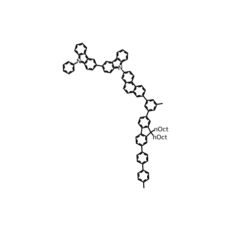 CCCCCCCCC1(CCCCCCCC)c2cc(-c3ccc(-c4ccc(C)cc4)cc3)ccc2-c2ccc(-c3cc(C)cc(-c4ccc5c(ccc6cc(-n7c8ccccc8c8cc(-c9ccc%10c(c9)c9ccccc9n%10-c9ccccc9)ccc87)ccc65)c4)c3)cc21